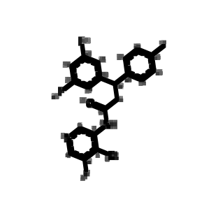 CCc1c(F)cncc1NC(=O)CC(c1ccc(C)cc1)c1cc(F)cc(F)c1